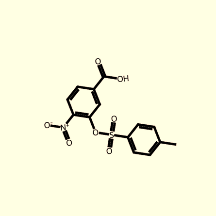 Cc1ccc(S(=O)(=O)Oc2cc(C(=O)O)ccc2[N+](=O)[O-])cc1